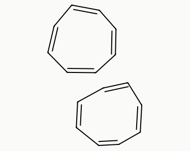 C1=CC=CC=CC=C1.C1=CC=CC=CC=C1